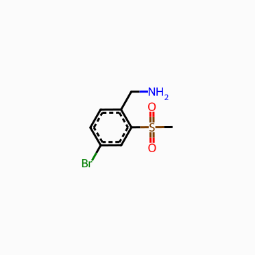 CS(=O)(=O)c1cc(Br)ccc1CN